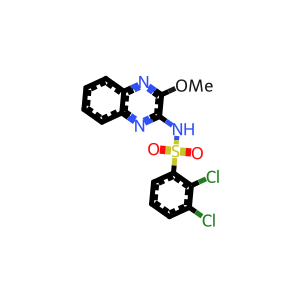 COc1nc2ccccc2nc1NS(=O)(=O)c1cccc(Cl)c1Cl